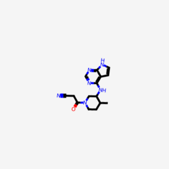 CC1CCN(C(=O)CC#N)CC1Nc1ncnc2[nH]ccc12